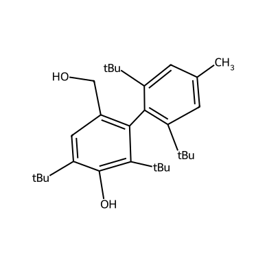 Cc1cc(C(C)(C)C)c(-c2c(CO)cc(C(C)(C)C)c(O)c2C(C)(C)C)c(C(C)(C)C)c1